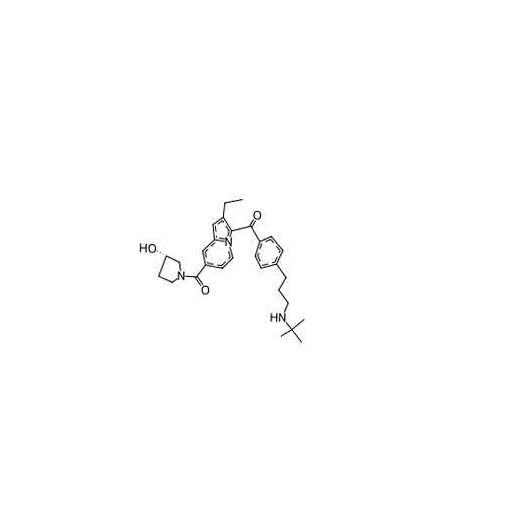 CCc1cc2cc(C(=O)N3CC[C@H](O)C3)ccn2c1C(=O)c1ccc(CCCNC(C)(C)C)cc1